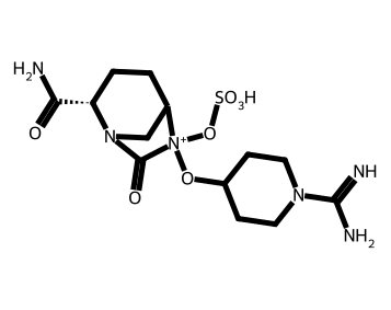 N=C(N)N1CCC(O[N+]2(OS(=O)(=O)O)C(=O)N3CC2CC[C@H]3C(N)=O)CC1